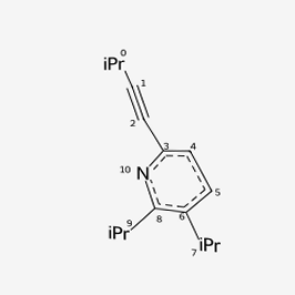 CC(C)C#Cc1ccc(C(C)C)c(C(C)C)n1